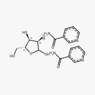 NC(=O)c1cccnc1.NC(=O)c1cccnc1.OC[C@H]1OC(O)[C@H](O)[C@@H]1O